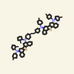 Cc1ccc(N(c2ccc(C)cc2)c2cc3c4cc(N(c5ccc(C)cc5)c5ccc(CCc6ccc(N(c7ccccc7C)c7cc8c9cc(N(c%10ccc(C)cc%10)c%10ccccc%10C)c%10ccccc%10c9sc8c8ccccc78)cc6)cc5)c5ccccc5c4sc3c3ccccc23)cc1